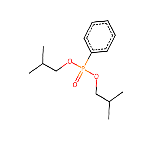 CC(C)COP(=O)(OCC(C)C)c1ccccc1